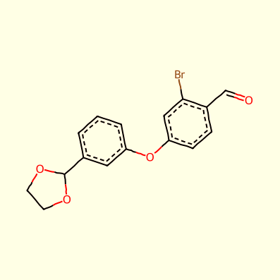 O=Cc1ccc(Oc2cccc(C3OCCO3)c2)cc1Br